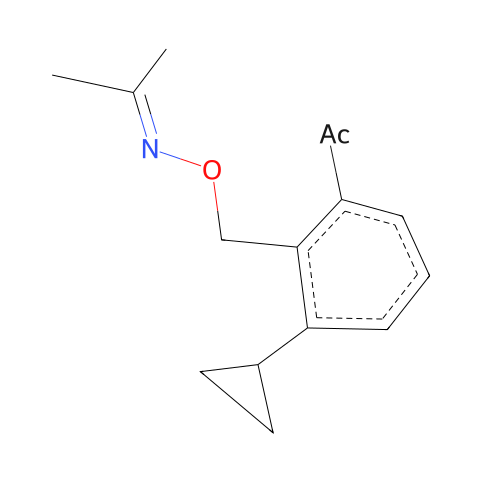 CC(=O)c1cccc(C2CC2)c1CON=C(C)C